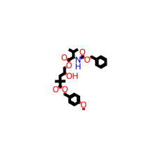 COc1ccc(COC(=O)C(C)(C)CC(O)COC(=O)[C@@H](NC(=O)OCc2ccccc2)C(C)C)cc1